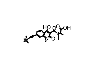 CC(NC(=O)c1c(O)c2ccc(C#C[Si](C)(C)C)cc2n(C)c1=O)C(=O)O